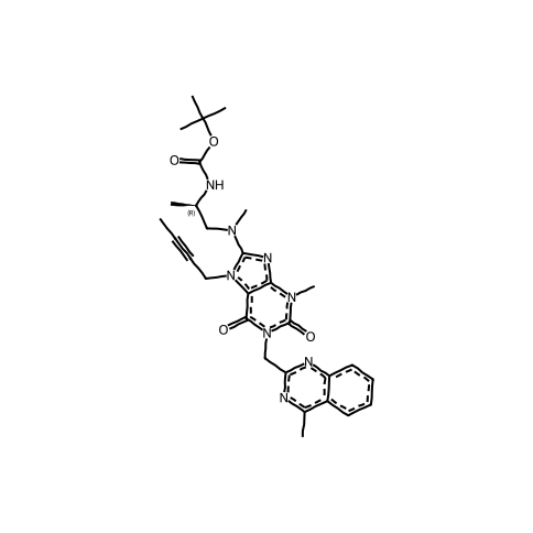 CC#CCn1c(N(C)C[C@@H](C)NC(=O)OC(C)(C)C)nc2c1c(=O)n(Cc1nc(C)c3ccccc3n1)c(=O)n2C